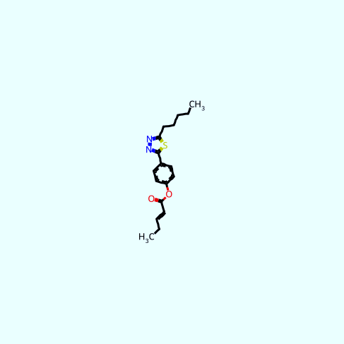 CCC=CC(=O)Oc1ccc(-c2nnc(CCCCC)s2)cc1